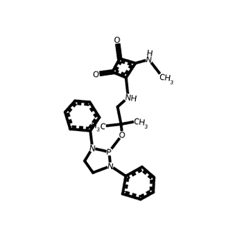 CNc1c(NCC(C)(C)OP2N(c3ccccc3)CCN2c2ccccc2)c(=O)c1=O